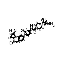 CCN(Cc1ccc(-n2ccc(NC(=O)N3CCN(C(=O)C(C)(C)N)CC3)nc2=O)cc1)C1CCC(N)C1